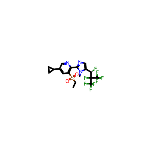 CCS(=O)(=O)c1cc(C2CC2)cnc1-c1ncc([C@@H](F)C(F)(C(F)(F)F)C(F)(F)F)n1C